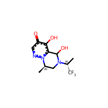 C[C@@H]1CN([C@H](C)C(F)(F)F)C(O)c2c(O)c(=O)cnn21